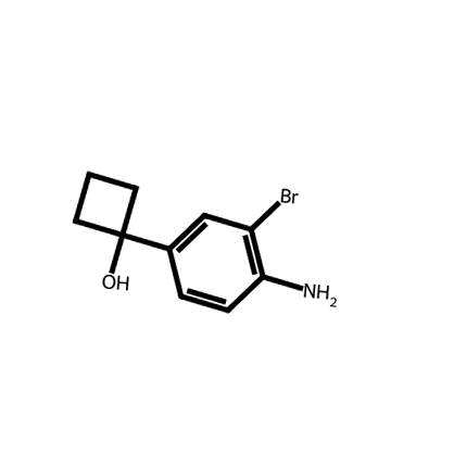 Nc1ccc(C2(O)CCC2)cc1Br